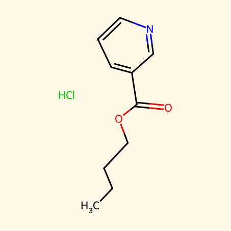 CCCCOC(=O)c1cccnc1.Cl